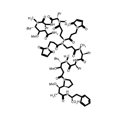 CCC(C)[C@@H](C(CC(N)=O)OC)N(C)C(=O)[C@@H](NC(=O)[C@H](C(C)C)N(C)C(=O)CCN(C(=O)CCN1C(=O)C=CC1=O)N(CCC(=O)N(C)[C@H](C(=O)N[C@H](C(=O)N(C)[C@@H](C(C)CC)C(CC(=O)N1CCC[C@H]1[C@H](OC)[C@@H](C)C(=O)N[C@@H](Cc1ccccc1)C(=O)O)OC)C(C)C)C(C)C)C(=O)CCN1C(=O)C=CC1=O)C(C)C